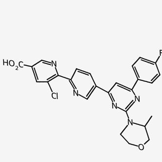 CC1COCCN1c1nc(-c2ccc(F)cc2)cc(-c2ccc(-c3ncc(C(=O)O)cc3Cl)nc2)n1